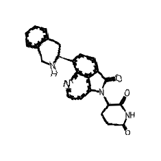 O=C1CCC(N2C(=O)c3ccc([C@@H]4Cc5ccccc5CN4)c4nccc2c34)C(=O)N1